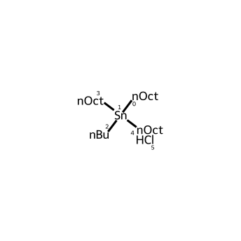 CCCCCCC[CH2][Sn]([CH2]CCC)([CH2]CCCCCCC)[CH2]CCCCCCC.Cl